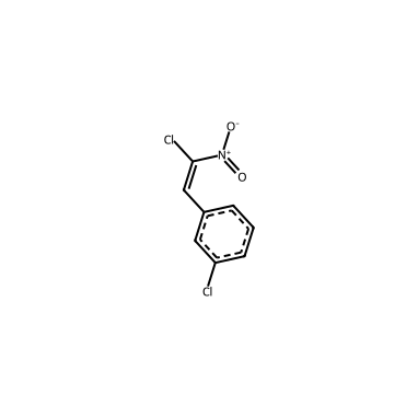 O=[N+]([O-])/C(Cl)=C\c1cccc(Cl)c1